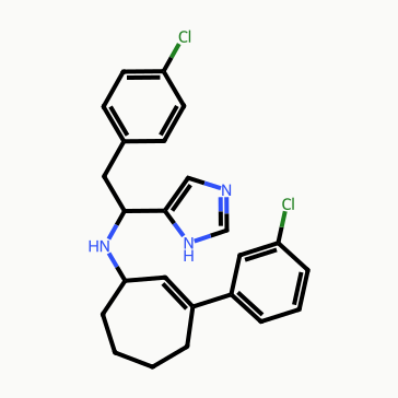 Clc1ccc(CC(NC2C=C(c3cccc(Cl)c3)CCCC2)c2cnc[nH]2)cc1